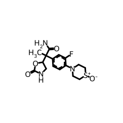 CC(C(N)=O)(c1ccc(N2CC[S+]([O-])CC2)c(F)c1)C1CNC(=O)O1